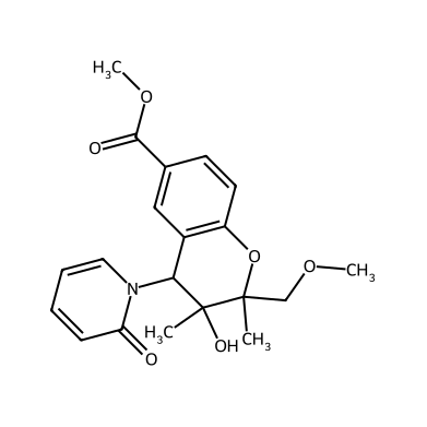 COCC1(C)Oc2ccc(C(=O)OC)cc2C(n2ccccc2=O)C1(C)O